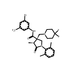 CCc1cc(NC(=O)[C@]2(CN3CCC(F)(F)CC3)CN(c3c(C)cccc3C)C(=O)[C@H]2C)cc(C(F)(F)F)c1